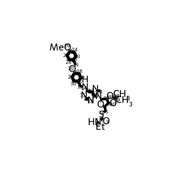 CCNC(=O)SCC1OC(n2cnc3c(NCc4ccc(OCc5ccc(OC)cc5)cc4)ncnc32)C2OC(C)(C)OC12